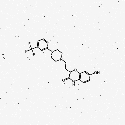 O=C1Nc2ccc(O)cc2ON1CCN1CCN(c2cccc(C(F)(F)F)c2)CC1